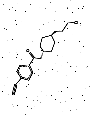 N#Cc1ccc(C(=O)C[C@H]2CC[C@H](CCCCl)CC2)cc1